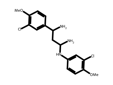 COc1ccc(NC(N)CC(N)c2ccc(OC)c(Cl)c2)cc1Cl